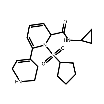 O=C(NC1CC1)C1C=CC=C(C2=CCNCC2)N1S(=O)(=O)C1CCCC1